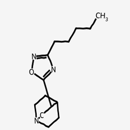 CCCCCc1noc(C2CN3CCC2CC3)n1